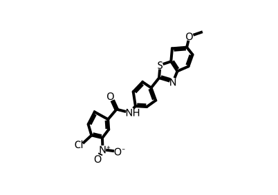 COc1ccc2nc(-c3ccc(NC(=O)c4ccc(Cl)c([N+](=O)[O-])c4)cc3)sc2c1